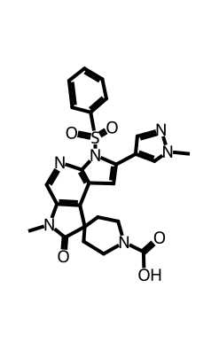 CN1C(=O)C2(CCN(C(=O)O)CC2)c2c1cnc1c2cc(-c2cnn(C)c2)n1S(=O)(=O)c1ccccc1